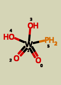 [O]=[W](=[O])([OH])([OH])[PH2]